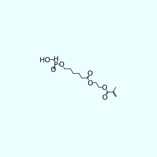 C=C(C)C(=O)OCCOC(=O)CCCCCO[PH](=O)CO